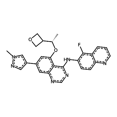 C[C@H](Oc1cc(-c2cnn(C)c2)cc2ncnc(Nc3ccc4ncccc4c3F)c12)C1COC1